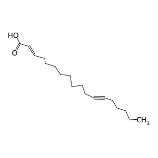 CCCCCC#CCCCCCCCC/C=C/C(=O)O